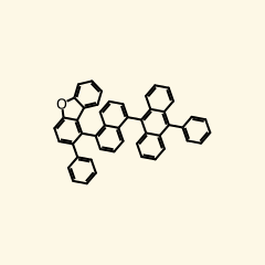 c1ccc(-c2ccc3oc4ccccc4c3c2-c2cccc3c(-c4c5ccccc5c(-c5ccccc5)c5ccccc45)cccc23)cc1